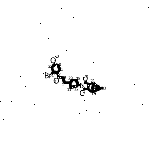 COc1ccc(C(=O)/C=C/c2ccc(N3C(=O)C4C5C=CC(C6CC56)C4C3=O)cc2)c(Br)c1